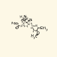 CCC12C(CC(Cc3ccc(OC)c(C)c3)C1(C#N)C(=O)CN)C2C(=O)O